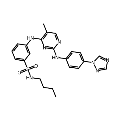 CCCCNS(=O)(=O)c1cccc(Nc2nc(Nc3ccc(-n4cncn4)cc3)ncc2C)c1